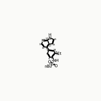 CCCCS(=O)(=O)Nc1ccc(-c2ccnc3[nH]ccc23)cc1CC